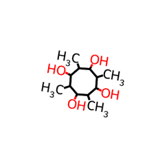 CC1C(O)C(C)C(O)C(C)C(O)C(C)C1O